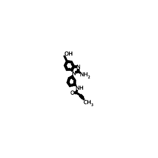 CC#CC(=O)Nc1cccc(-n2c(N)nc3cc(CO)ccc32)c1